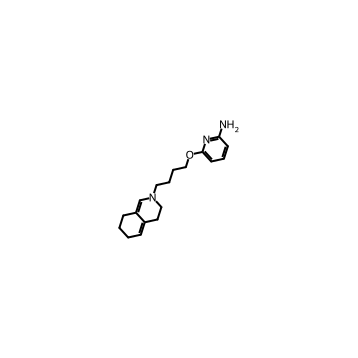 Nc1cccc(OCCCCN2C=C3CCCC=C3CC2)n1